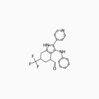 O=CC1CC(C(F)(F)F)Cc2[nH]c(-c3ccncc3)c(Nc3ccccc3)c21